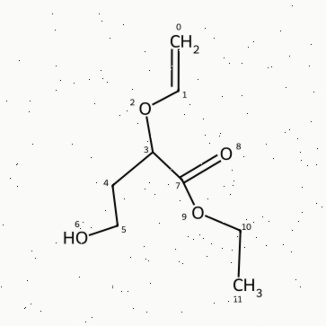 C=COC(CCO)C(=O)OCC